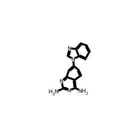 Nc1nc(N)c2ccc(-n3cnc4ccccc43)cc2n1